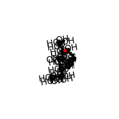 C[C@H](CC[C@@H](O[C@@H]1O[C@H](CO[C@@H]2O[C@H](CO)[C@@H](O)[C@H](O)[C@H]2O)[C@@H](O)[C@H](O)[C@H]1O[C@H]1O[C@@H](CN=O)[C@H](O)[C@@H](O)[C@@H]1O)C(C)(C)O)C1CC[C@@]2(C)C3CC=C4C(CC[C@H](O[C@@H]5O[C@H](C[N+](=O)[O-])[C@@H](O)[C@H](O)[C@H]5O[C@H]5O[C@@H](COC6O[C@H](C)[C@@H](O)[C@H](O)[C@H]6O)[C@H](O)[C@@H](O)[C@@H]5O)C4(C)C)[C@]3(C)[C@H]([N+](=O)[O-])C[C@]12C